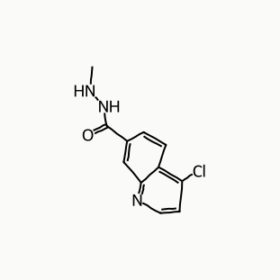 CNNC(=O)c1ccc2c(Cl)ccnc2c1